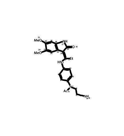 CCC(Nc1ccc(N(CCN)C(C)=O)cc1)=C1C(=O)Nc2cc(OC)c(OC)cc21